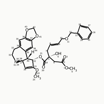 COC(=O)C[C@](O)(C/C=C/COCc1ccccc1)C(=O)O[C@@H]1C(OC)=C[C@]23CCCN2CCc2cc4c(cc2[C@H]13)OCO4